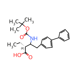 CC[C@@H](C(=O)O)C(Cc1ccc(-c2ccccc2)cc1)NC(=O)OC(C)(C)C